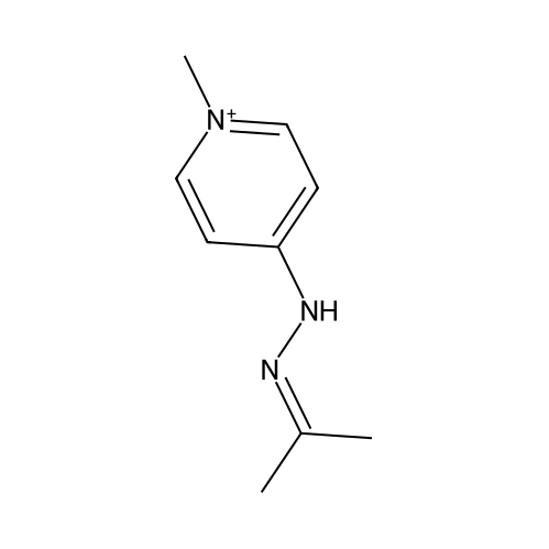 CC(C)=NNc1cc[n+](C)cc1